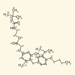 CCCCOc1ccc(Cc2c(C)cc(OCC(=O)OCCNC(=O)OC(C)(C)C)cc2C)cc1C(C)C